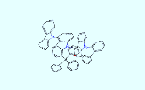 c1ccc(-c2ccccc2-n2c3ccccc3c3c(-n4c5cccc(-n6c7ccccc7c7ccccc76)c5c5cccc([Si](c6ccccc6)(c6ccccc6)c6ccccc6)c54)cccc32)cc1